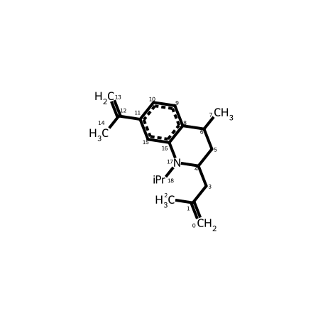 C=C(C)CC1CC(C)c2ccc(C(=C)C)cc2N1C(C)C